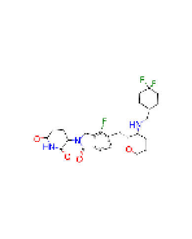 O=C1CCC(N2Cc3c(ccc(C[C@H]4OCCC[C@@H]4NCC4CCC(F)(F)CC4)c3F)C2=O)C(=O)N1